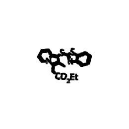 CCOC(=O)Cc1c(C)c(Sc2nc3ccccc3s2)c2ccccn12